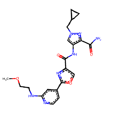 COCCNc1cc(-c2nc(C(=O)Nc3cn(CC4CC4)nc3C(N)=O)co2)ccn1